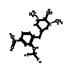 C[C@@H]1CN(Cc2ccc([N+](=O)[O-])cc2OC(F)F)C[C@H](C)C1O